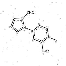 COc1cc(-n2cccc2C=O)ccc1C